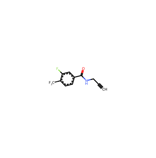 C#CCNC(=O)c1ccc(C(F)(F)F)c(F)c1